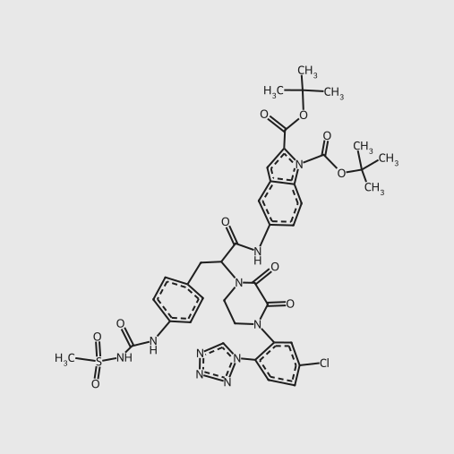 CC(C)(C)OC(=O)c1cc2cc(NC(=O)C(Cc3ccc(NC(=O)NS(C)(=O)=O)cc3)N3CCN(c4cc(Cl)ccc4-n4cnnn4)C(=O)C3=O)ccc2n1C(=O)OC(C)(C)C